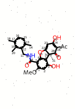 COc1cc(O)c2c(c1C(=O)NCc1c(C)ccc(C)c1C)OC1=CC(O)=C(C(C)=O)C(=O)[C@]12C